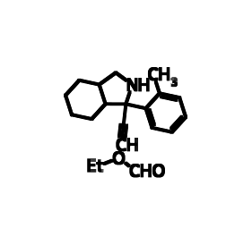 C#CC1(c2ccccc2C)NCC2CCCCC21.CCOC=O